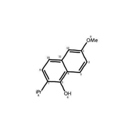 COc1ccc2c(O)c(C(C)C)ccc2c1